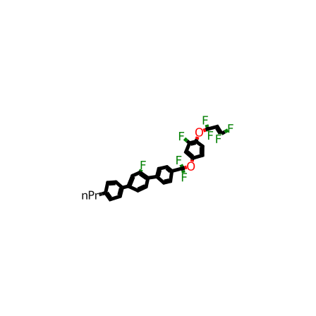 CCCc1ccc(-c2ccc(-c3ccc(C(F)(F)Oc4ccc(OC(F)(F)C=C(F)F)c(F)c4)cc3)c(F)c2)cc1